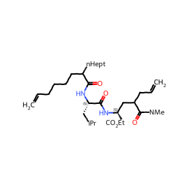 C=CCCCCC(CCCCCCC)C(=O)N[C@@H](CC(C)C)C(=O)N[C@@H](CC(CC=C)C(=O)NC)C(=O)OCC